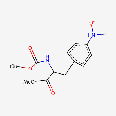 COC(=O)C(Cc1ccc([NH+](C)[O-])cc1)NC(=O)OC(C)(C)C